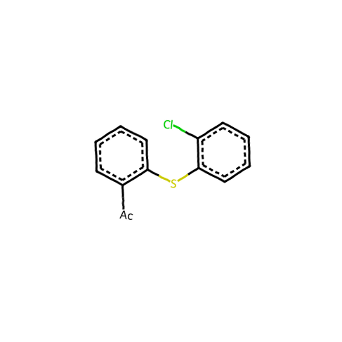 CC(=O)c1ccccc1Sc1ccccc1Cl